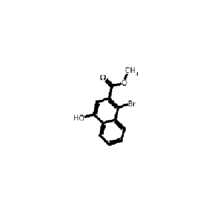 COC(=O)c1cc(O)c2ccccc2c1Br